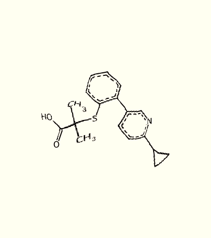 CC(C)(Sc1ccccc1-c1ccc(C2CC2)nc1)C(=O)O